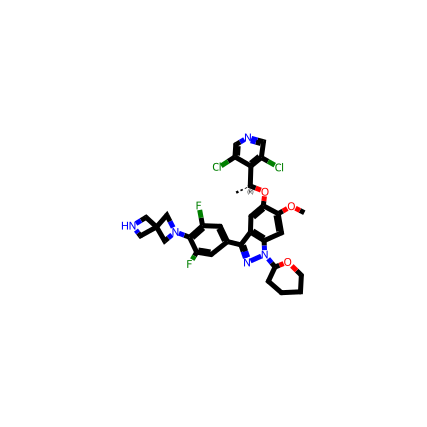 COc1cc2c(cc1O[C@H](C)c1c(Cl)cncc1Cl)c(-c1cc(F)c(N3CC4(CNC4)C3)c(F)c1)nn2C1CCCCO1